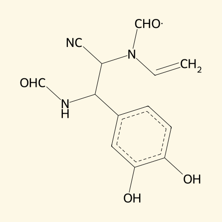 C=CN([C]=O)C(C#N)C(NC=O)c1ccc(O)c(O)c1